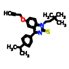 C#CCOc1ccc2c(c1)c(-c1ccc(C(C)C)cc1)nc(=S)n2CCC(C)(C)C